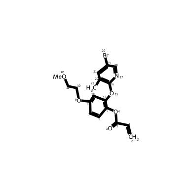 C=CC(=O)Oc1ccc(OCCOC)cc1Oc1ncc(Br)cc1C